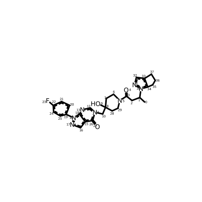 CC(CC(=O)N1CCC(O)(Cn2cnc3c(cnn3-c3ccc(F)cc3)c2=O)CC1)n1ncc2c1CCC2